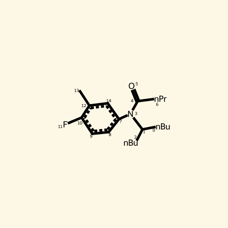 CCCCC(CCCC)N(C(=O)CCC)c1ccc(F)c(C)c1